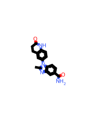 Cc1nc2cc(C(N)=O)ccc2n1-c1ccc2c(c1)CCC(=O)N2